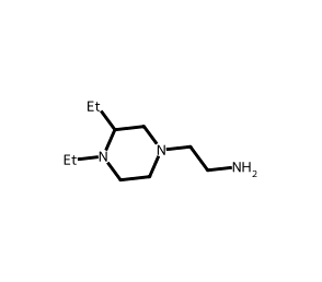 CCC1CN(CCN)CCN1CC